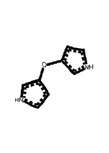 c1cc(Oc2cc[nH]c2)c[nH]1